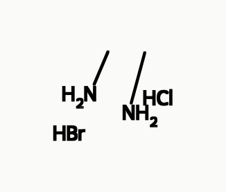 Br.CN.CN.Cl